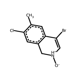 Cc1cc2c(cc1Cl)C[NH+]([O-])C=C2Br